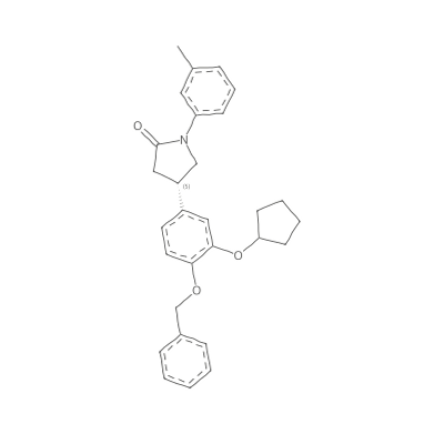 Cc1cccc(N2C[C@H](c3ccc(OCc4ccccc4)c(OC4CCCC4)c3)CC2=O)c1